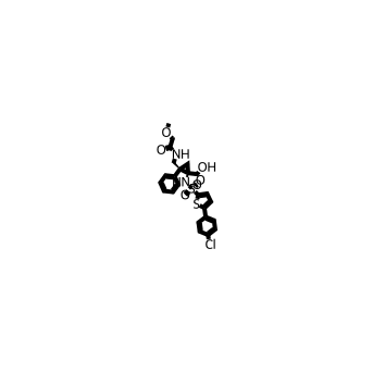 COCC(=O)NC[C@@]1(c2ccccc2)C[C@]1(NS(=O)(=O)c1ccc(-c2ccc(Cl)cc2)s1)C(=O)O